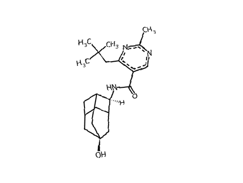 Cc1ncc(C(=O)N[C@H]2C3CC4CC2C[C@@](O)(C4)C3)c(CC(C)(C)C)n1